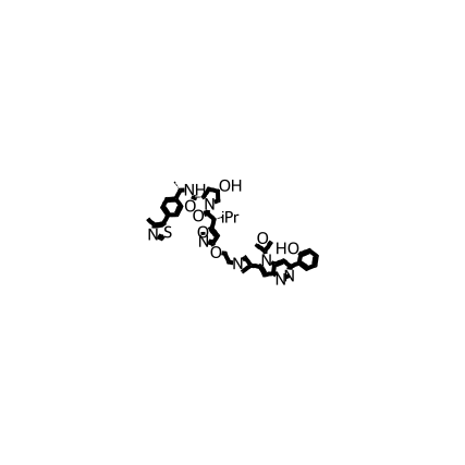 Cc1ncsc1-c1ccc([C@H](C)NC(=O)[C@@H]2C[C@@H](O)CN2C(=O)[C@@H](c2cc(OCCN3CC(c4cc5nnc(-c6ccccc6O)cc5n4C4COC4)C3)no2)C(C)C)cc1